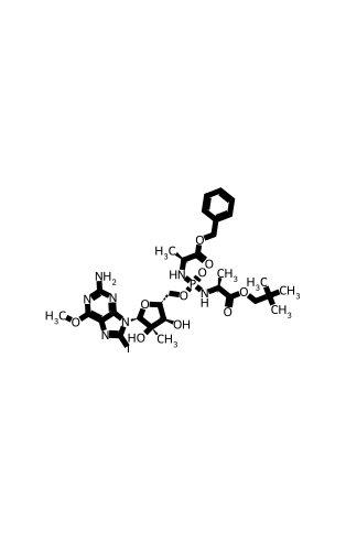 COc1nc(N)nc2c1nc(I)n2[C@@H]1O[C@H](COP(=O)(N[C@@H](C)C(=O)OCc2ccccc2)N[C@@H](C)C(=O)OCC(C)(C)C)[C@@H](O)[C@@]1(C)O